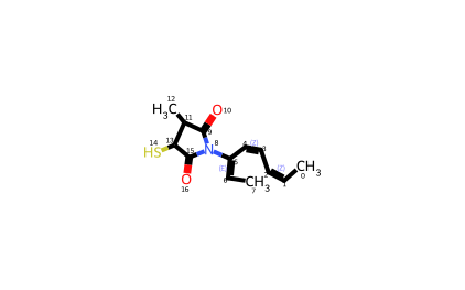 C\C=C/C=C\C(=C/C)N1C(=O)C(C)C(S)C1=O